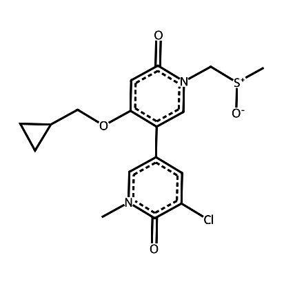 Cn1cc(-c2cn(C[S+](C)[O-])c(=O)cc2OCC2CC2)cc(Cl)c1=O